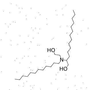 CCCCCCCCCCCCC(CO)N(CCO)CCCCCCCCCCCC